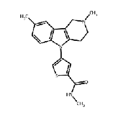 CNC(=O)c1cc(-n2c3c(c4cc(C)ccc42)CN(C)CC3)cs1